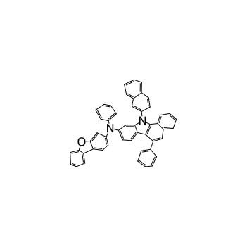 c1ccc(-c2cc3ccccc3c3c2c2ccc(N(c4ccccc4)c4ccc5c(c4)oc4ccccc45)cc2n3-c2ccc3ccccc3c2)cc1